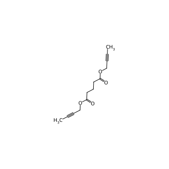 CC#CCOC(=O)CCCC(=O)OCC#CC